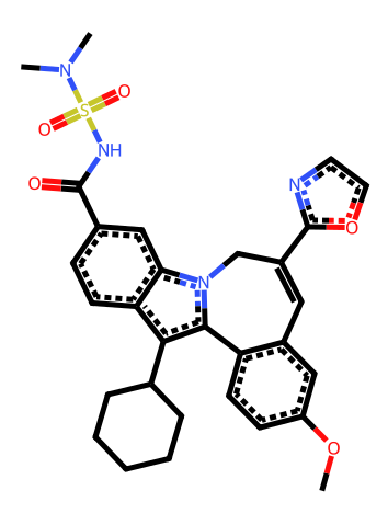 COc1ccc2c(c1)C=C(c1ncco1)Cn1c-2c(C2CCCCC2)c2ccc(C(=O)NS(=O)(=O)N(C)C)cc21